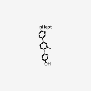 CCCCCCCc1ccc(-c2ccc(-c3ccc(O)cc3)c(C)c2)cc1